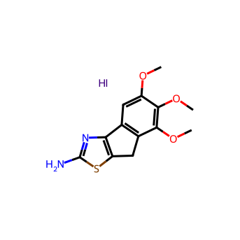 COc1cc2c(c(OC)c1OC)Cc1sc(N)nc1-2.I